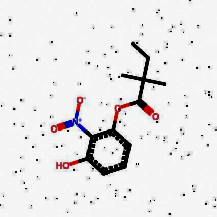 CCC(C)(C)C(=O)Oc1cccc(O)c1[N+](=O)[O-]